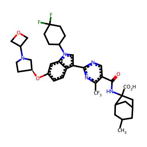 CC1CC2CC(C1)C(NC(=O)c1cnc(-c3cn(C4CCC(F)(F)CC4)c4cc(O[C@H]5CCN(C6COC6)C5)ccc34)nc1C(F)(F)F)(C(=O)O)C2